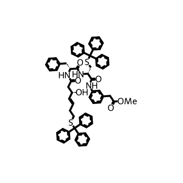 COC(=O)Cc1cccc(NC(=O)[C@@H](CSC(c2ccccc2)(c2ccccc2)c2ccccc2)NC(=O)[C@@H](Cc2ccccc2)NC(=O)C[C@H](O)C=CCCSC(c2ccccc2)(c2ccccc2)c2ccccc2)c1